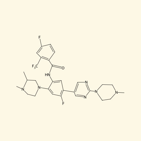 CC1CN(c2cc(F)c(-c3cnc(N4CCN(C)CC4)nc3)cc2NC(=O)c2ccc(F)cc2C(F)(F)F)CCN1C